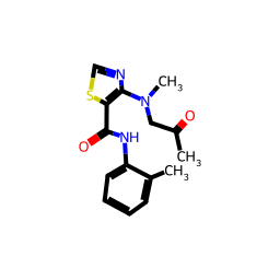 CC(=O)CN(C)c1ncsc1C(=O)Nc1ccccc1C